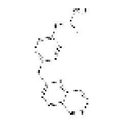 CC(Oc1ccc(Oc2ccc3cnccc3n2)cc1)C(=O)O